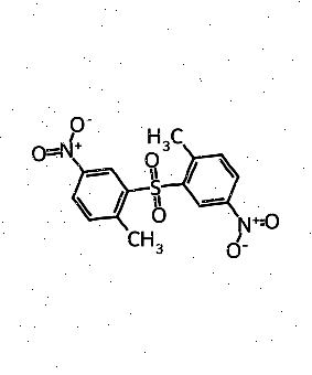 Cc1ccc([N+](=O)[O-])cc1S(=O)(=O)c1cc([N+](=O)[O-])ccc1C